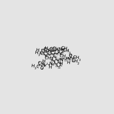 C=C(C)C(=O)NCCCNCc1c2ccccc2c(CNCCCNC(=O)C(=C)C)c2cc(C3=c4cc5c(cc4[Si](C)(C)c4cc6c(cc43)C(C)=CC(C)(C)N6C)=NC(C)(C)C=C5C)ccc12